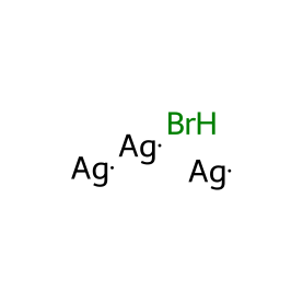 Br.[Ag].[Ag].[Ag]